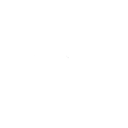 [CH2]c1ccc(Oc2cccc(C(F)(F)F)c2)c([N+](=O)[O-])c1